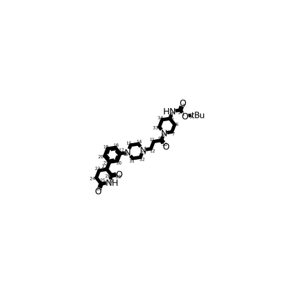 CC(C)(C)OC(=O)NC1CCN(C(=O)CCN2CCN(c3cccc(C4CCC(=O)NC4=O)c3)CC2)CC1